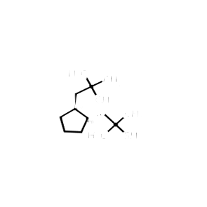 CC(C)(C)C[C@@H]1CCC[C@H]1CC(C)(C)S